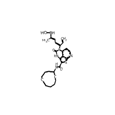 C=C/C(=C\C=C(/C)BO)N1C(=O)Nc2c(C(=O)NC3CCCCCCCCC3)sc3nccc1c23